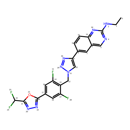 CCNc1ncc2cc(-c3cn(Cc4c(F)cc(-c5nnc(C(F)F)o5)cc4F)nn3)ccc2n1